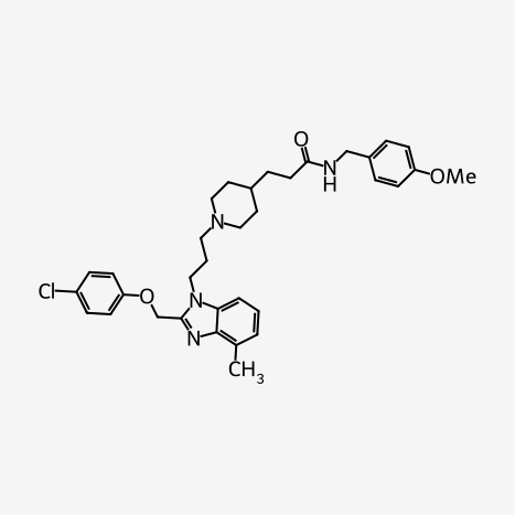 COc1ccc(CNC(=O)CCC2CCN(CCCn3c(COc4ccc(Cl)cc4)nc4c(C)cccc43)CC2)cc1